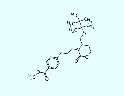 COC(=O)c1ccc(CCCN2C(=O)OCCC2CO[Si](C)(C)C(C)(C)C)cc1